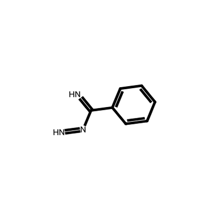 N=NC(=N)c1ccccc1